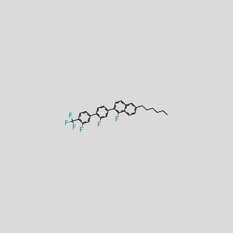 CCCCCCc1ccc2c(F)c(-c3ccc(-c4ccc(C(F)(F)F)c(F)c4)c(F)c3)ccc2c1